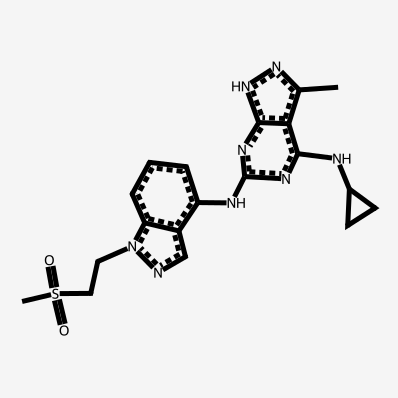 Cc1n[nH]c2nc(Nc3cccc4c3cnn4CCS(C)(=O)=O)nc(NC3CC3)c12